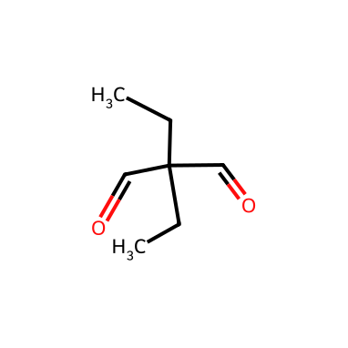 CCC(C=O)(C=O)CC